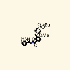 COc1ccc2c(c1CN1CCN(C(=O)OC(C)(C)C)C[C@@H]1C)O/C(=C\c1n[nH]c3ncccc13)C2=O